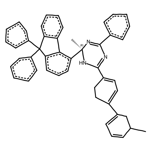 CC1C=CC=C(C2=CC=C(C3=NC(c4ccccc4)=N[C@](C)(c4cccc5c4-c4ccccc4C5(c4ccccc4)c4ccccc4)N3)CC2)C1